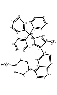 O=C(O)C1CCN(c2ccnc3ccc(-c4cn(C(c5ccccc5)(c5ccccc5)c5ccccc5)nc4C(F)(F)F)cc23)CC1